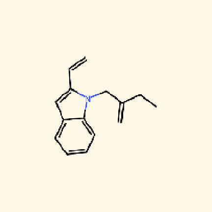 C=Cc1cc2ccccc2n1CC(=C)CC